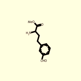 COC(=O)C(N)CCc1cccc(C=O)c1